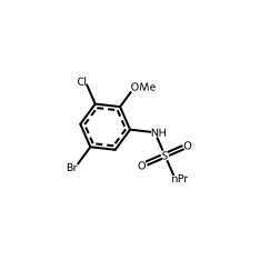 CCCS(=O)(=O)Nc1cc(Br)cc(Cl)c1OC